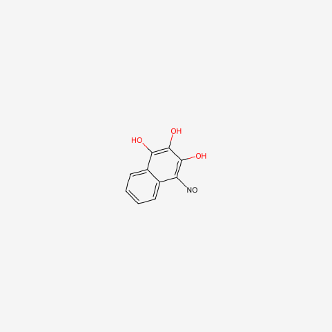 O=Nc1c(O)c(O)c(O)c2ccccc12